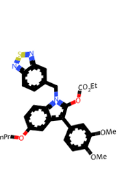 CCCOc1ccc2c(c1)c(-c1ccc(OC)c(OC)c1)c(OC(=O)OCC)n2Cc1ccc2nsnc2c1